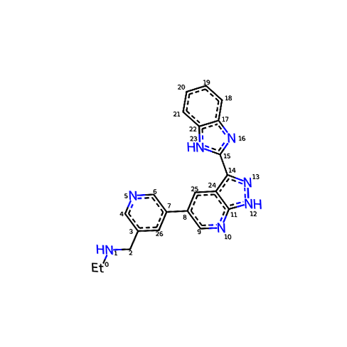 CCNCc1cncc(-c2cnc3[nH]nc(-c4nc5ccccc5[nH]4)c3c2)c1